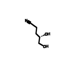 N#CCC[C@H](O)CO